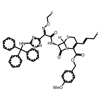 COc1ccc(COC(=O)C2=C(/C=C/CI)CS[C@H]3[C@H](NC(=O)/C(=N\OCF)c4nsc(NC(c5ccccc5)(c5ccccc5)c5ccccc5)n4)C(=O)N23)cc1